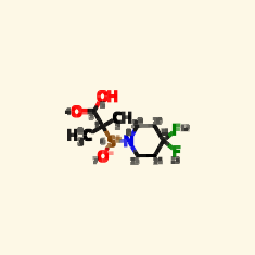 CC(C)(C(=O)O)[S+]([O-])N1CCC(F)(F)CC1